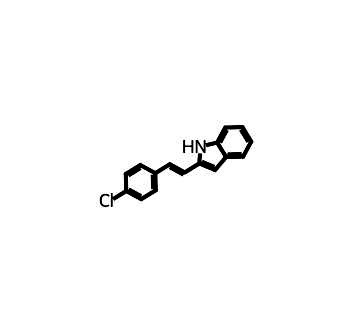 Clc1ccc(/C=C/c2cc3ccccc3[nH]2)cc1